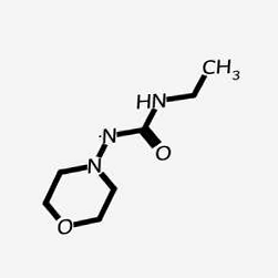 CCNC(=O)[N]N1CCOCC1